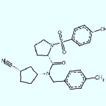 Cc1ccc(CN(C(=O)[C@@H]2CCCN2S(=O)(=O)c2ccc(C)cc2)[C@@H]2CC[C@H](C#N)C2)cc1